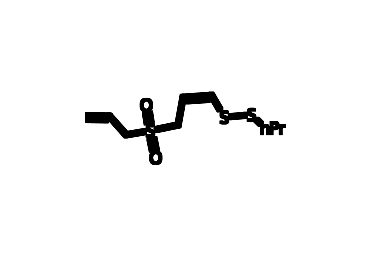 C=CCS(=O)(=O)C/C=C\SSCCC